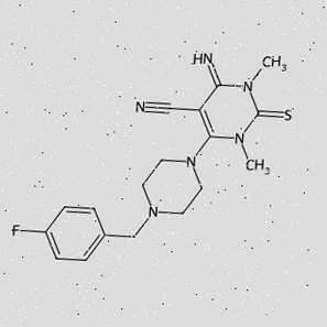 Cn1c(N2CCN(Cc3ccc(F)cc3)CC2)c(C#N)c(=N)n(C)c1=S